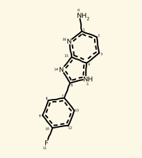 Nc1ccc2[nH]c(-c3ccc(F)cc3)nc2n1